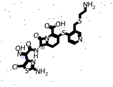 NCCSCc1cnccc1SC1=C(C(=O)O)N2C(=O)[C@@H](NC(=O)/C(=N\O)c3nc(N)sc3Cl)C2CC1